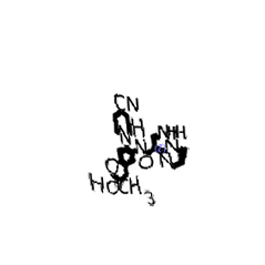 C[C@]1(O)COc2cc(N3CCC(C#N)CC3)c(NC(=O)/C(C=N)=C3\N=CC=CN3)cc2C1